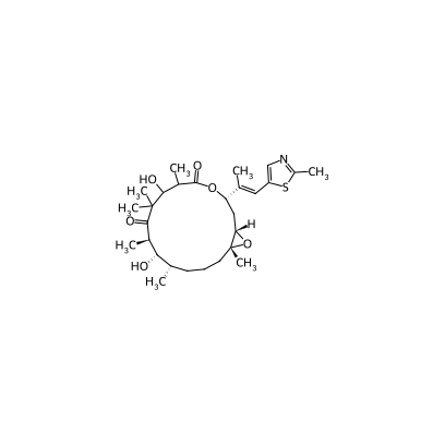 C/C(=C\c1cnc(C)s1)[C@@H]1C[C@@H]2O[C@]2(C)CCC[C@H](C)[C@H](O)[C@@H](C)C(=O)C(C)(C)C(O)C(C)C(=O)O1